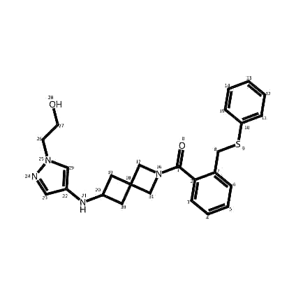 O=C(c1ccccc1CSc1ccccc1)N1CC2(CC(Nc3cnn(CCO)c3)C2)C1